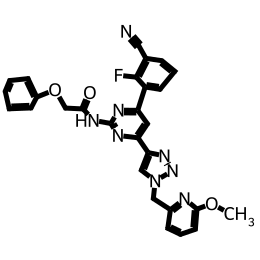 COc1cccc(Cn2cc(-c3cc(-c4cccc(C#N)c4F)nc(NC(=O)COc4ccccc4)n3)nn2)n1